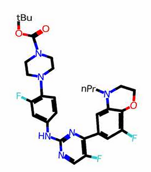 CCCN1CCOc2c(F)cc(-c3nc(Nc4ccc(N5CCN(C(=O)OC(C)(C)C)CC5)c(F)c4)ncc3F)cc21